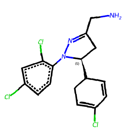 NCC1=NN(c2ccc(Cl)cc2Cl)[C@H](C2C=CC(Cl)=CC2)C1